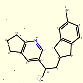 CC(C)c1ccc2c(c1)CC(CC(C)c1cnc3c(c1)CCC3)C2